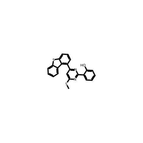 CSc1cc(-c2cccc3sc4ccccc4c23)nc(-c2ccccc2O)n1